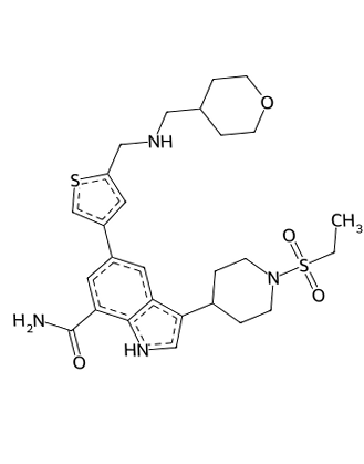 CCS(=O)(=O)N1CCC(c2c[nH]c3c(C(N)=O)cc(-c4csc(CNCC5CCOCC5)c4)cc23)CC1